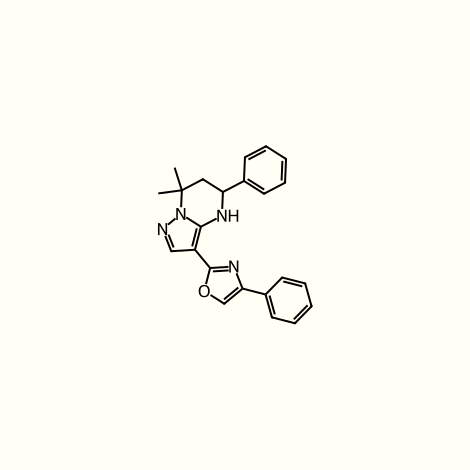 CC1(C)CC(c2ccccc2)Nc2c(-c3nc(-c4ccccc4)co3)cnn21